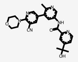 Cc1ncc(NC(=O)c2cc(C(C)(C)O)ccn2)cc1-c1cnc(N2CCOCC2)c(C#N)c1